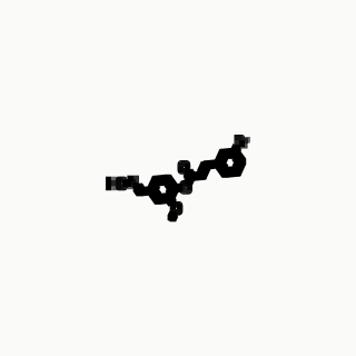 COc1cc(/C=N/O)ccc1OC(=O)/C=C/c1cccc(Br)c1